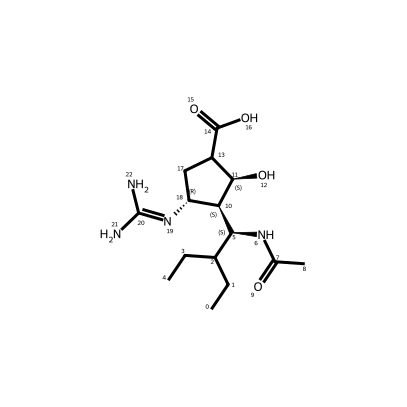 CCC(CC)[C@H](NC(C)=O)[C@@H]1[C@H](O)C(C(=O)O)C[C@H]1N=C(N)N